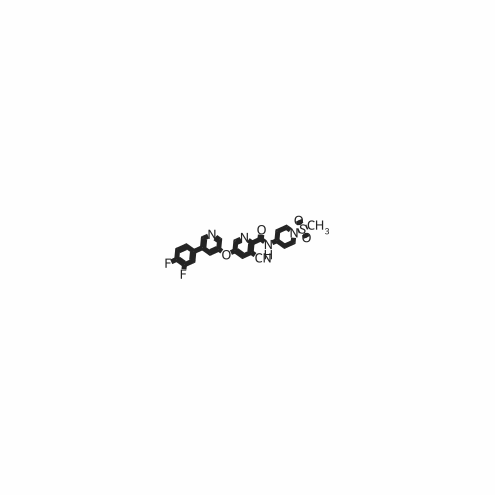 CS(=O)(=O)N1CCC(NC(=O)c2ncc(Oc3cncc(-c4ccc(F)c(F)c4)c3)cc2C#N)CC1